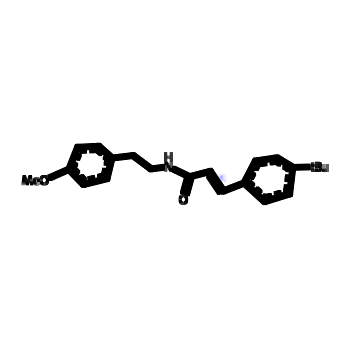 COc1ccc(CCNC(=O)/C=C/c2ccc(C(C)(C)C)cc2)cc1